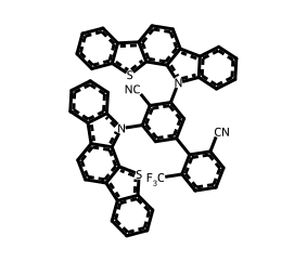 N#Cc1cccc(C(F)(F)F)c1-c1cc(-n2c3ccccc3c3ccc4c5ccccc5sc4c32)c(C#N)c(-n2c3ccccc3c3ccc4c5ccccc5sc4c32)c1